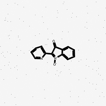 O=C1C(c2ccccn2)=[N+]([O-])c2ccccc21